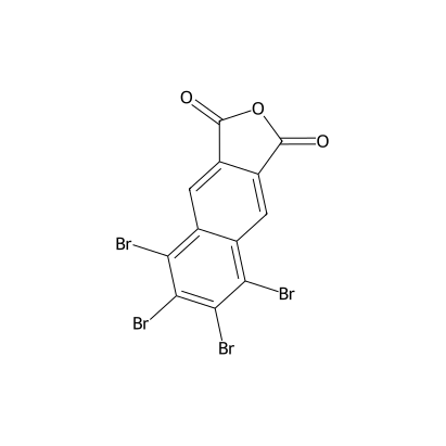 O=C1OC(=O)c2cc3c(Br)c(Br)c(Br)c(Br)c3cc21